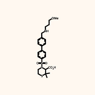 COCCCNCc1ccc(-c2ccc(S(=O)(=O)N3CCSC(C)(C)C3C(=O)O)cc2)cc1